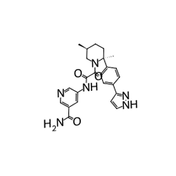 C[C@H]1CC[C@@](C)(c2ccc(-c3cc[nH]n3)cc2)N(C(=O)C(=O)Nc2cncc(C(N)=O)c2)C1